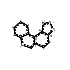 c1ccc2c(c1)ncc1ccc3nnsc3c12